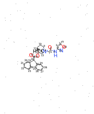 Cc1cc(NC(=O)C[N+]23CCC(CC2)[C@@H](OC(=O)C2c4ccccc4-c4ccccc42)C3)no1